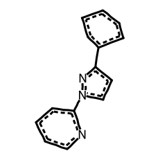 c1ccc(-c2ccn(-c3ccccn3)n2)cc1